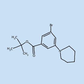 CC(C)(C)OC(=O)c1cc(Br)cc(N2CCCCC2)c1